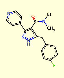 CCN(C)C(=O)c1c(-c2ccncc2)n[nH]c1Cc1ccc(F)cc1